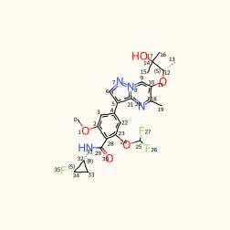 COc1cc(-c2cnn3cc(O[C@@H](C)C(C)(C)O)c(C)nc23)cc(OC(F)F)c1C(=O)N[C@@H]1C[C@@H]1F